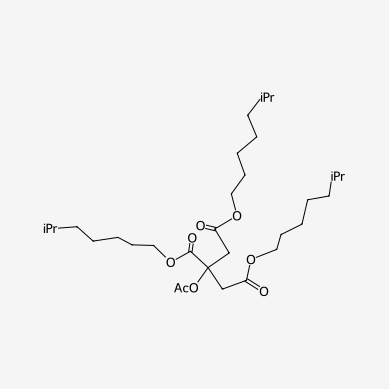 CC(=O)OC(CC(=O)OCCCCCC(C)C)(CC(=O)OCCCCCC(C)C)C(=O)OCCCCCC(C)C